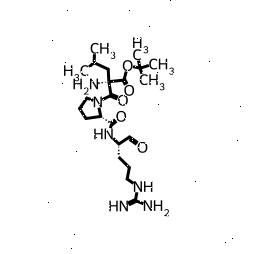 CC(C)C[C@@](N)(C(=O)OC(C)(C)C)C(=O)N1CCC[C@H]1C(=O)N[C@H](C=O)CCCNC(=N)N